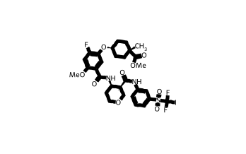 COc1cc(F)c(O[C@H]2CC[C@@](C)(C(=O)OC)CC2)cc1C(=O)N[C@@H]1CCOC[C@@H]1C(=O)Nc1cccc(S(=O)(=O)C(F)(F)I)c1